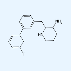 NC1CCCNC1Cc1cccc(C2C=CC=C(F)C2)c1